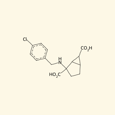 O=C(O)C1C2CCC(NCc3ccc(Cl)cc3)(C(=O)O)C21